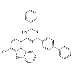 Clc1ccc(C2=NC(c3ccc(-c4ccccc4)cc3)=NC(c3ccccc3)N2)c2c1oc1ccccc12